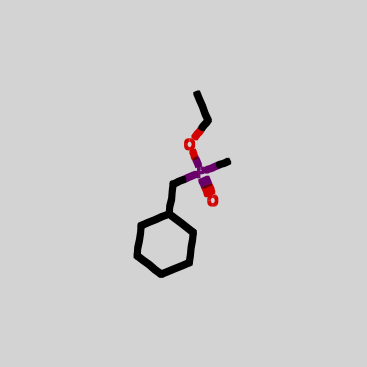 CCOP(C)(=O)CC1CCCCC1